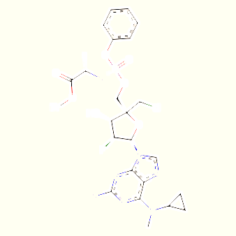 CC(C)OC(=O)[C@H](C)N[P@](=O)(OC[C@@]1(CCl)O[C@@H](n2cnc3c(N(C)C4CC4)nc(N)nc32)[C@@H](F)[C@@H]1O)Oc1ccccc1